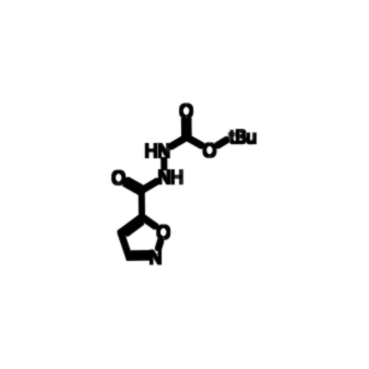 CC(C)(C)OC(=O)NNC(=O)c1ccno1